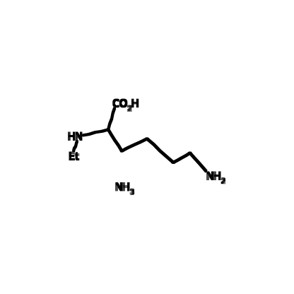 CCNC(CCCCN)C(=O)O.N